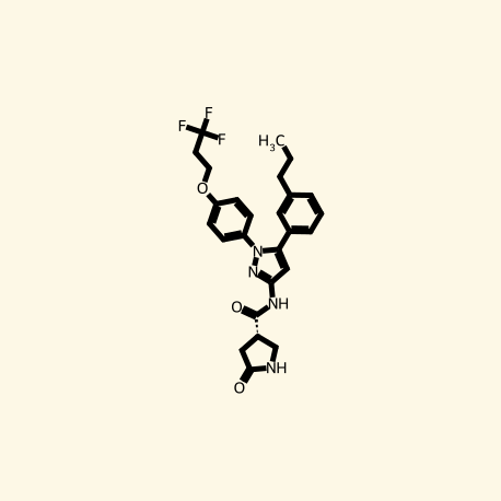 CCCc1cccc(-c2cc(NC(=O)[C@@H]3CNC(=O)C3)nn2-c2ccc(OCCC(F)(F)F)cc2)c1